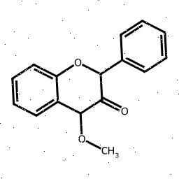 COC1C(=O)C(c2ccccc2)Oc2ccccc21